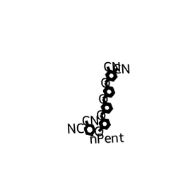 CCCCCC1CC(C#N)C(C#N)CC1Oc1cccc(Oc2cccc(Oc3cccc(Oc4ccc(C#N)c(C#N)c4)c3)c2)c1